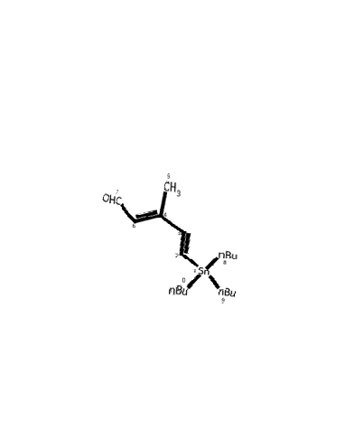 CCC[CH2][Sn]([CH]=CC(C)=CC=O)([CH2]CCC)[CH2]CCC